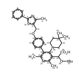 Cc1nc(-c2ccccc2)sc1COc1ccc(-c2c(C)nc(C)c(C(OC(C)(C)C)C(=O)O)c2N2CCC(C)(C)CC2)cc1